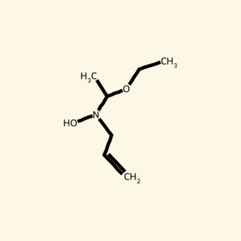 C=CCN(O)C(C)OCC